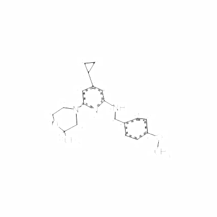 COc1ccc(CNc2cc(C3CC3)cc(N3CCOC(C)C3)n2)cc1